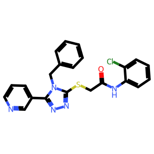 O=C(CSc1nnc(-c2cccnc2)n1Cc1ccccc1)Nc1ccccc1Cl